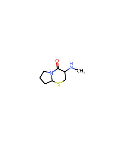 CNC1CSC2CCCN2C1=O